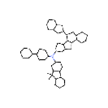 CC1(C)C2CCCCC2C2CCC(N(C3CCC(C4CCCCC4)CC3)C3CCC4C(CC5C6CCCCC6CC(C6CC7CCCCC7C6)C45)C3)CC21